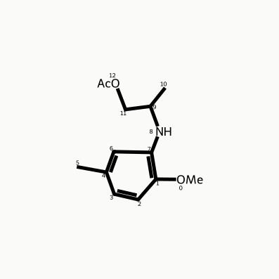 COc1ccc(C)cc1NC(C)COC(C)=O